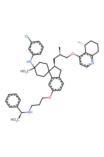 C[C@@H](COc1ccnc2c1[C@H](C)CCC2)C[C@H]1Cc2ccc(OCCCN[C@@H](C(=O)O)c3ccccc3)cc2C12CCC(Nc1cccc(Cl)c1)(C(=O)O)CC2